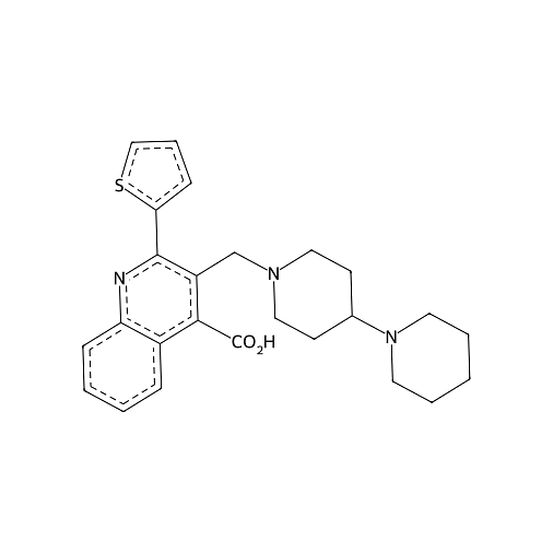 O=C(O)c1c(CN2CCC(N3CCCCC3)CC2)c(-c2cccs2)nc2ccccc12